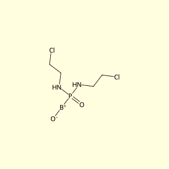 O=P([B+][O-])(NCCCl)NCCCl